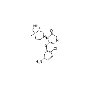 CC1(CN)CCN(n2c(Sc3cc(N)ccc3Cl)cncc2=O)CC1